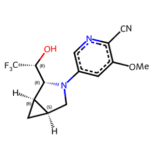 COc1cc(N2C[C@H]3C[C@H]3[C@@H]2[C@@H](O)C(F)(F)F)cnc1C#N